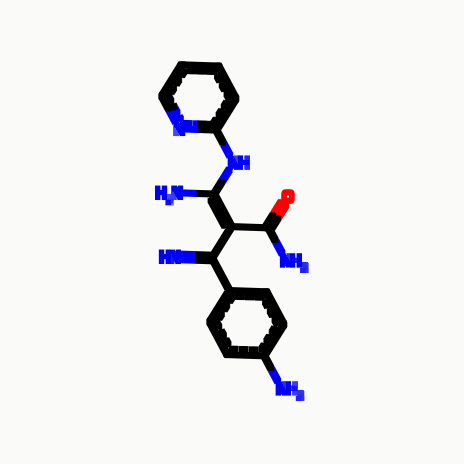 N=C(/C(C(N)=O)=C(\N)Nc1ccccn1)c1ccc(N)cc1